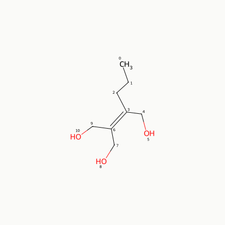 CCCC(CO)=C(CO)CO